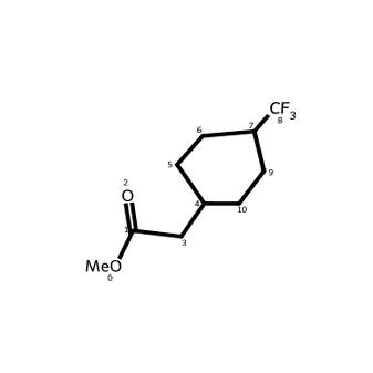 COC(=O)CC1CCC(C(F)(F)F)CC1